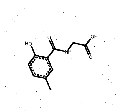 Cc1ccc(O)c(C(=O)NCC(=O)O)c1